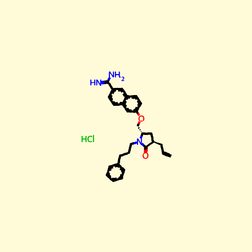 C=CC[C@@H]1C[C@@H](COc2ccc3cc(C(=N)N)ccc3c2)N(CCCc2ccccc2)C1=O.Cl